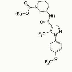 CC(C)(C)OC(=O)N1CCCC(NC(=O)c2cnn(-c3ccc(OC(F)(F)F)cc3)c2C(F)(F)F)C1